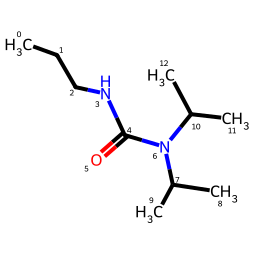 CCCNC(=O)N(C(C)C)C(C)C